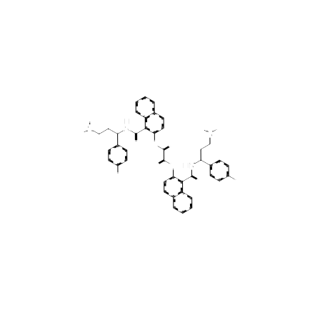 CN(C)CCC(NC(=O)c1c(OC(=O)C(=O)Oc2ccc3ccccc3c2C(=O)NC(CCN(C)C)c2ccc(Cl)cc2)ccc2ccccc12)c1ccc(Cl)cc1